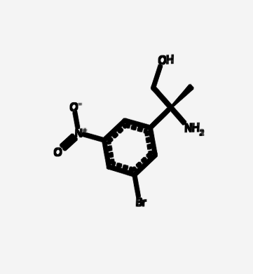 C[C@](N)(CO)c1cc(Br)cc([N+](=O)[O-])c1